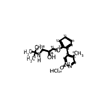 Cc1cn[n+]([O-])cc1-c1ccccc1OCC(O)CNC(C)(C)C.Cl